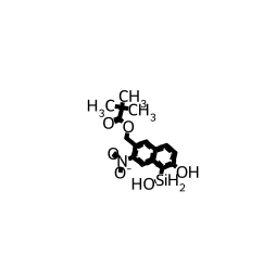 CC(C)(C)C(=O)OCc1cc2ccc(O)c([SiH2]O)c2cc1[N+](=O)[O-]